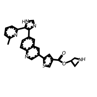 Cc1cccc(-c2[nH]cnc2-c2ccc3ncc(-c4cc(C(=O)OC5CNC5)cs4)cc3c2)n1